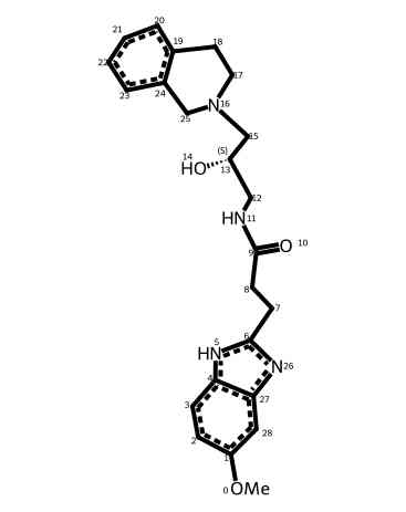 COc1ccc2[nH]c(CCC(=O)NC[C@H](O)CN3CCc4ccccc4C3)nc2c1